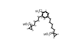 Cc1ccc(CCCCCC2(C(=O)O)CC2)cc1CCCCC1(C(=O)O)CC1